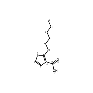 CCCCCCc1sccc1C(=O)O